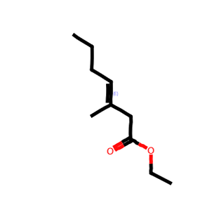 CCC/C=C(\C)CC(=O)OCC